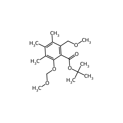 COCOc1c(C)c(C)c(C)c(COC)c1C(=O)OC(C)(C)C